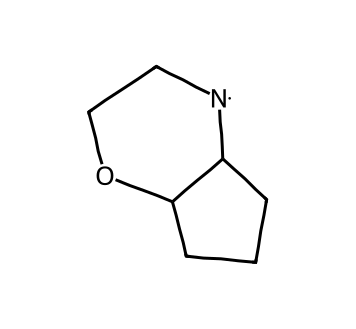 C1CC2[N]CCOC2C1